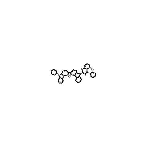 c1ccc(-n2c3ccccc3c3c4oc5c(ccc6c5c5ccccc5n6-c5nc6c7c(cccc7n5)Oc5ccccc5-6)c4ccc32)cc1